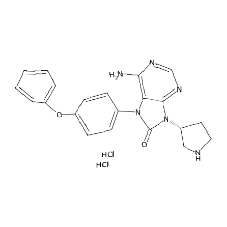 Cl.Cl.Nc1ncnc2c1n(-c1ccc(Oc3ccccc3)cc1)c(=O)n2[C@@H]1CCNC1